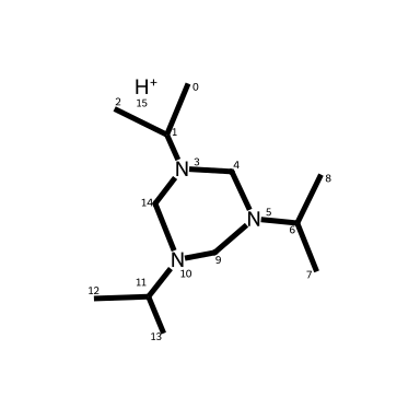 CC(C)N1CN(C(C)C)CN(C(C)C)C1.[H+]